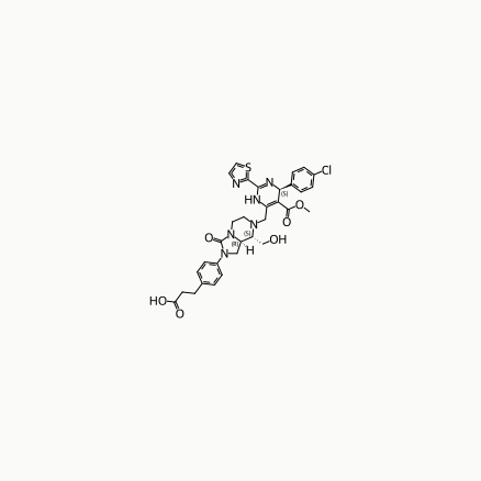 COC(=O)C1=C(CN2CCN3C(=O)N(c4ccc(CCC(=O)O)cc4)C[C@@H]3[C@H]2CO)NC(c2nccs2)=N[C@H]1c1ccc(Cl)cc1